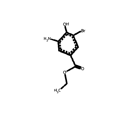 CCOC(=O)c1cc(N)c(O)c(Br)c1